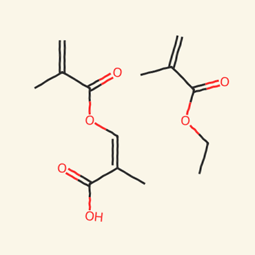 C=C(C)C(=O)OC=C(C)C(=O)O.C=C(C)C(=O)OCC